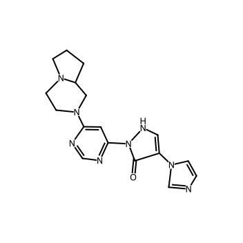 O=c1c(-n2ccnc2)c[nH]n1-c1cc(N2CCN3CCCC3C2)ncn1